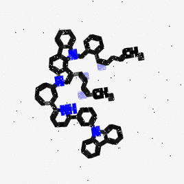 C=CC/C=C\c1ccccc1Cn1c2ccccc2c2ccc3c(c(/C=C\C=C/C)cn3C3=CC(C4=CC=CC(c5cccc(-n6c7ccccc7c7ccccc76)c5)N4)C=CC=C3)c21